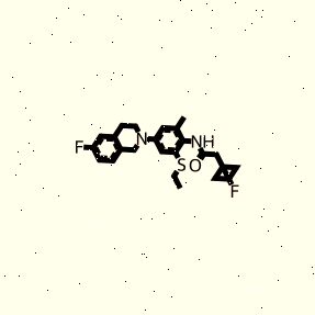 CCSc1cc(N2CCc3cc(F)ccc3C2)cc(C)c1NC(=O)CC12CC1(F)C2